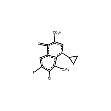 COc1c(Cl)c(F)cc2c(=O)c(C(=O)O)cn(C3CC3)c12